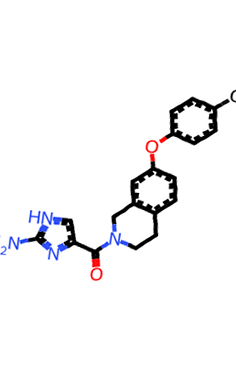 Nc1nc(C(=O)N2CCc3ccc(Oc4ccc(C(F)(F)F)cc4)cc3C2)c[nH]1